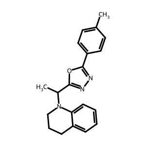 Cc1ccc(-c2nnc(C(C)N3CCCc4ccccc43)o2)cc1